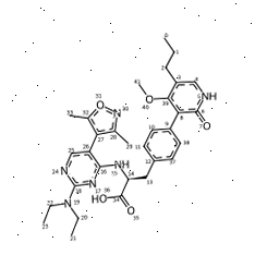 CCCc1c[nH]c(=O)c(-c2ccc(C[C@H](Nc3nc(N(CC)CC)ncc3-c3c(C)noc3C)C(=O)O)cc2)c1OC